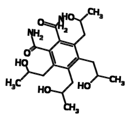 CC(O)Cc1c(CC(C)O)c(CC(C)O)c(C(N)=O)c(C(N)=O)c1CC(C)O